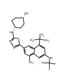 Cc1cc(-c2nnc(N[C@H]3CC[C@@H](O)CC3)o2)nc2c(C(C)(C)C)cc(NC(F)(F)F)cc12